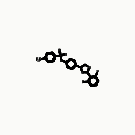 O=S(=O)(Oc1ccc(C2COC(c3c(F)cccc3F)=N2)cc1)c1ccc(C(F)(F)F)cc1